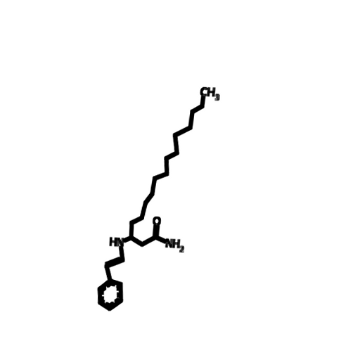 CCCCCCCCCCCCCC(CC(N)=O)NC=Cc1ccccc1